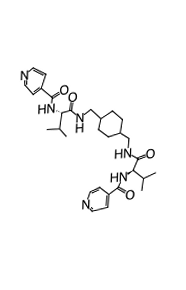 CC(C)[C@H](NC(=O)c1ccncc1)C(=O)NCC1CCC(CNC(=O)[C@H](NC(=O)c2ccncc2)C(C)C)CC1